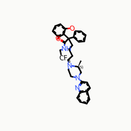 C[C@H]1CN(c2ccc3ccccc3n2)CCN1CCCCC1(C(=O)NCC(F)(F)F)c2ccccc2Oc2ccccc21